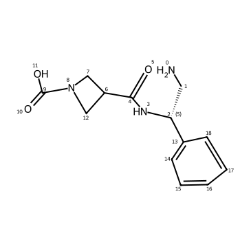 NC[C@@H](NC(=O)C1CN(C(=O)O)C1)c1ccccc1